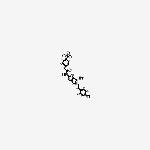 CCS(=O)(=O)c1ccc(CC(=O)Nc2nc3c(s2)CN(CCc2ccc(Cl)cc2)[C@H]3C(C)C)cc1